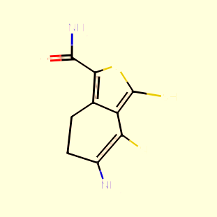 NC(=O)c1sc(S)c2c1CCC(N)=C2S